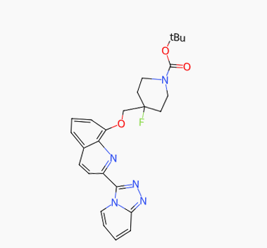 CC(C)(C)OC(=O)N1CCC(F)(COc2cccc3ccc(-c4nnc5ccccn45)nc23)CC1